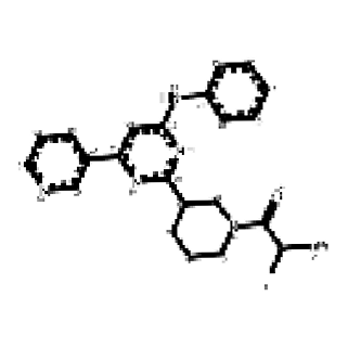 CCCC(I)C(=O)N1CCCC(c2nc(Nc3ccccc3)cc(-c3cccnc3)n2)C1